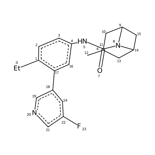 CCc1ccc(NC(=O)N2C3CC(C)CC2C3)cc1-c1cncc(F)c1